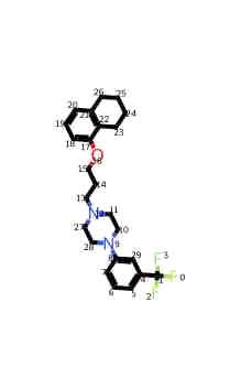 FC(F)(F)c1cccc(N2CCN(CCCOc3cccc4c3CCCC4)CC2)c1